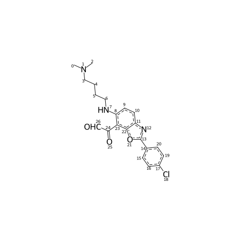 CN(C)CCCCNc1ccc2nc(-c3ccc(Cl)cc3)oc2c1C(=O)C=O